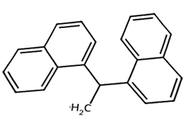 [CH2]C(c1cccc2ccccc12)c1cccc2ccccc12